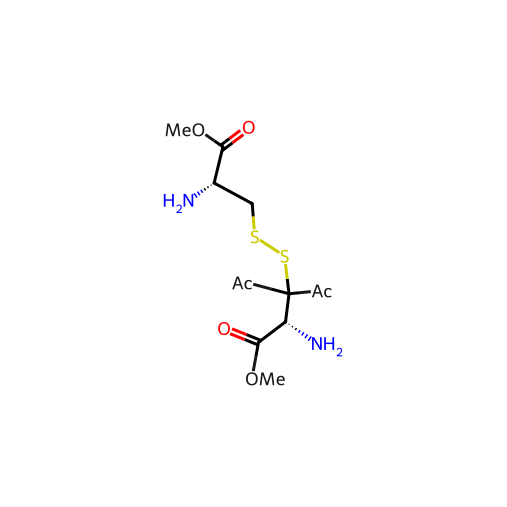 COC(=O)[C@@H](N)C(SSC[C@H](N)C(=O)OC)(C(C)=O)C(C)=O